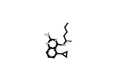 CCCC[C@@H](C)Nc1nc(N)nc2cccc(C3CC3)c12